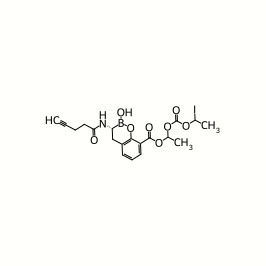 C#CCCC(=O)N[C@H]1Cc2cccc(C(=O)OC(C)OC(=O)OC(C)I)c2OB1O